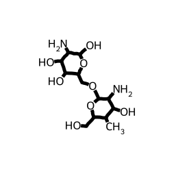 CC1C(CO)OC(OCC2OC(O)C(N)C(O)C2O)C(N)C1O